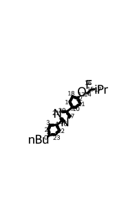 CCCCc1ccc(-c2ncc(-c3ccc(OCC(F)C(C)C)cc3)cn2)cc1